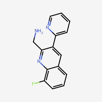 NCc1nc2c(F)cccc2cc1-c1ccccn1